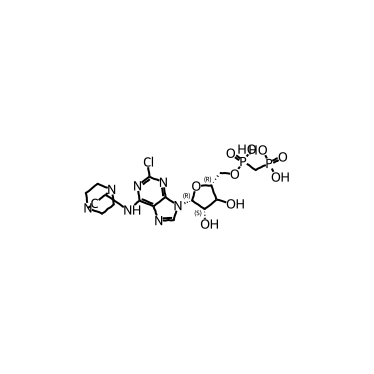 O=P(O)(O)CP(=O)(O)OC[C@H]1O[C@@H](n2cnc3c(NC4CN5CCN4CC5)nc(Cl)nc32)[C@@H](O)C1O